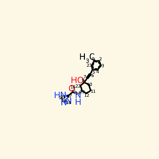 Cc1cccc(C#C[C@@]2(O)CCC[C@@H](NC(=O)c3nnc[nH]3)C2)c1